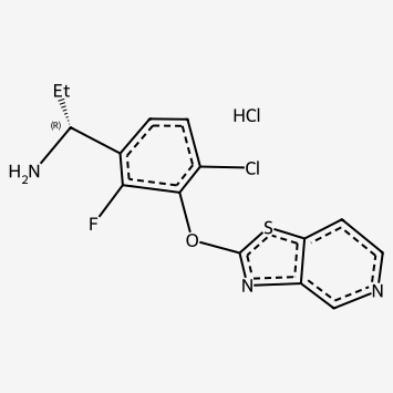 CC[C@@H](N)c1ccc(Cl)c(Oc2nc3cnccc3s2)c1F.Cl